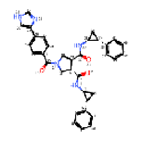 O=C(N[C@H]1C[C@@H]1c1ccccc1)[C@@H]1CN(C(=O)c2ccc(-c3c[nH]cn3)cc2)C[C@H]1C(=O)N[C@H]1C[C@@H]1c1ccccc1